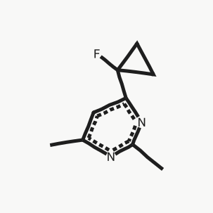 Cc1cc(C2(F)CC2)nc(C)n1